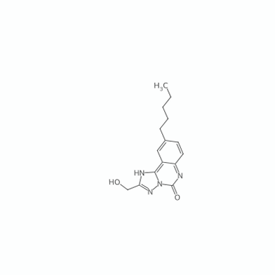 CCCCCc1ccc2nc(=O)n3nc(CO)[nH]c3c2c1